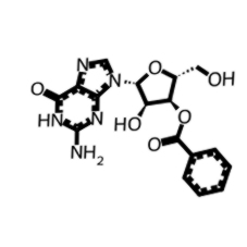 Nc1nc2c(ncn2[C@@H]2O[C@H](CO)[C@@H](OC(=O)c3ccccc3)[C@H]2O)c(=O)[nH]1